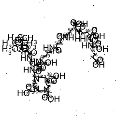 CC(C)(C)[Si](F)(c1ccc(C(=O)NCC[C@H](NC(=O)CN2CCN(CC(=O)O)CCN(CC(=O)O)CCN(CC(=O)O)CC2)C(=O)N[C@H](CCCCNC(=O)CCC(=O)NCCC[C@H](NC(=O)CC[C@H](NC(=O)N[C@@H](CCCC(=O)O)C(=O)O)C(=O)O)C(=O)O)C(=O)O)cc1)C(C)(C)C